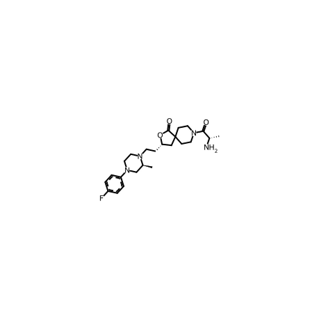 C[C@H](N)C(=O)N1CCC2(CC1)C[C@H](CCN1CCN(c3ccc(F)cc3)C[C@@H]1C)OC2=O